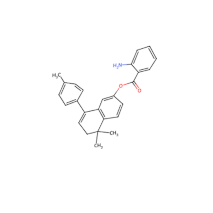 Cc1ccc(C2=CCC(C)(C)c3ccc(OC(=O)c4ccccc4N)cc32)cc1